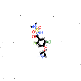 CN(C)S(=O)(=O)NC(=O)c1cc(Cl)c(OC2CNC2)cc1F